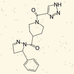 O=C(c1c[nH]nn1)N1CCC(C(=O)N2N=CCC2c2ccccc2)CC1